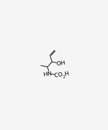 C=CC(O)C(C)NC(=O)O